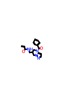 C=CC(=O)NCC1CN(C(=O)c2ccccc2)c2ccnn2C1